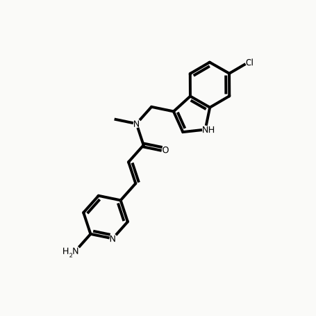 CN(Cc1c[nH]c2cc(Cl)ccc12)C(=O)C=Cc1ccc(N)nc1